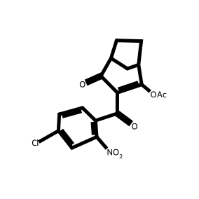 CC(=O)OC1=C(C(=O)c2ccc(Cl)cc2[N+](=O)[O-])C(=O)C2CCC1C2